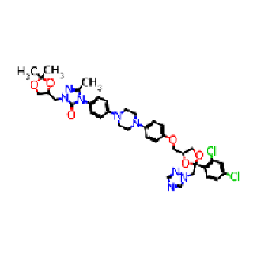 Cc1nn(CC2COC(C)(C)O2)c(=O)n1-c1ccc(N2CCN(c3ccc(OCC4COC(Cn5cncn5)(c5ccc(Cl)cc5Cl)O4)cc3)CC2)cc1